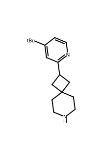 CC(C)(C)c1ccnc(C2CC3(CCNCC3)C2)c1